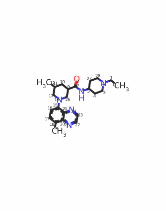 CCN1CCC(NC(=O)C2CC(C)CN(c3ccc(C)c4nccnc34)C2)CC1